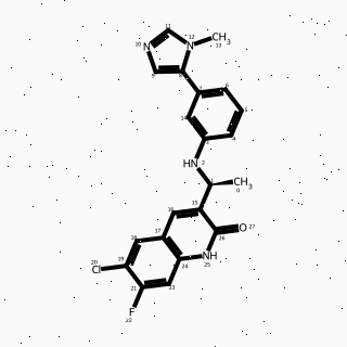 C[C@H](Nc1cccc(-c2cncn2C)c1)c1cc2cc(Cl)c(F)cc2[nH]c1=O